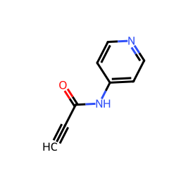 C#CC(=O)Nc1ccncc1